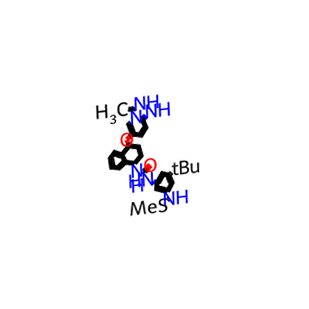 CSNc1cc(NC(=O)NC2CCC(Oc3ccc(=N)n(C(C)=N)c3)c3ccccc32)cc(C(C)(C)C)c1